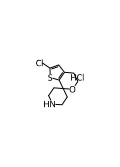 Cl.Clc1cc2c(s1)C1(CCNCC1)OCC2